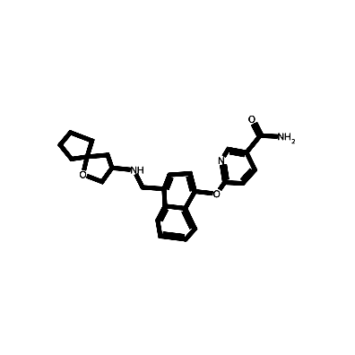 NC(=O)c1ccc(Oc2ccc(CNC3COC4(CCCC4)C3)c3ccccc23)nc1